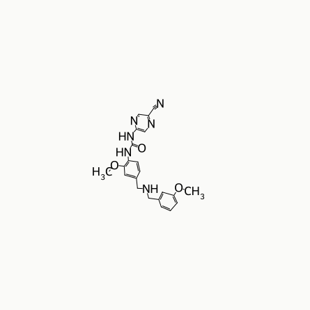 COc1cccc(CNCc2ccc(NC(=O)Nc3cnc(C#N)cn3)c(OC)c2)c1